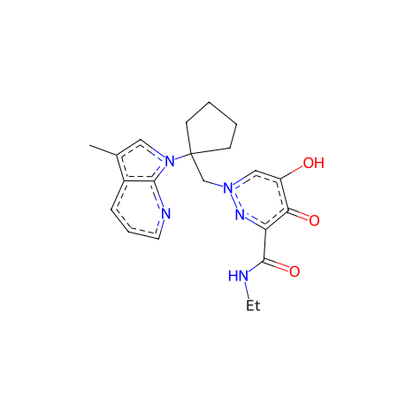 CCNC(=O)c1nn(CC2(n3cc(C)c4cccnc43)CCCC2)cc(O)c1=O